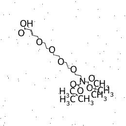 CC(C)(C)OC(=O)N(CCOCCOCCOCCOC/C=C/C(=O)O)C(=O)OC(C)(C)C